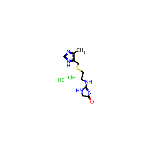 Cc1nc[nH]c1CSCCNC1=NC(=O)CN1.Cl.Cl